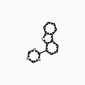 c1ccc2c(c1)sc1c(-c3ncncn3)cccc12